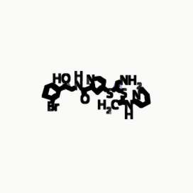 C=C(Nc1ccccn1)S/C(=C\N)Sc1ccnc(C(=O)NC[C@@H](O)c2cccc(Br)c2)c1